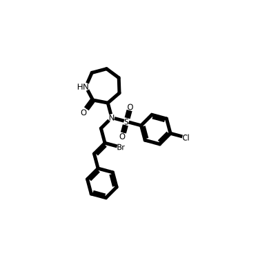 O=C1NCCCCC1N(CC(Br)=Cc1ccccc1)S(=O)(=O)c1ccc(Cl)cc1